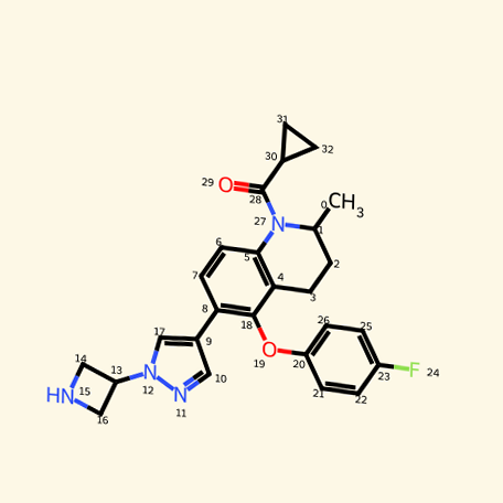 CC1CCc2c(ccc(-c3cnn(C4CNC4)c3)c2Oc2ccc(F)cc2)N1C(=O)C1CC1